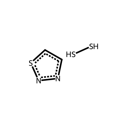 SS.c1csnn1